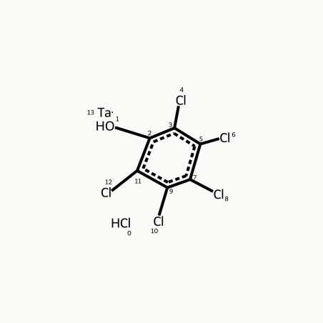 Cl.Oc1c(Cl)c(Cl)c(Cl)c(Cl)c1Cl.[Ta]